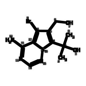 CC(C)(O)c1c(CO)c(Br)c2c(N)ncnn12